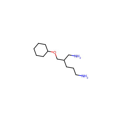 NCCCC(CN)COC1CCCCC1